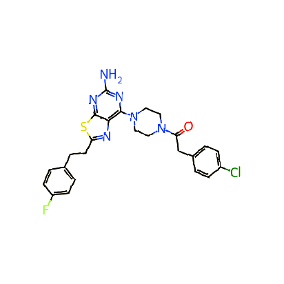 Nc1nc(N2CCN(C(=O)Cc3ccc(Cl)cc3)CC2)c2nc(CCc3ccc(F)cc3)sc2n1